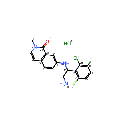 Cl.Cn1ccc2ccc(NC(CN)c3c(F)ccc(Cl)c3Cl)cc2c1=O